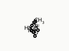 CN1CCN(c2ccc(Nc3ncc4cc(-c5ccccc5)c(=O)n(Cc5ccccc5C(F)(F)F)c4n3)cc2)CC1